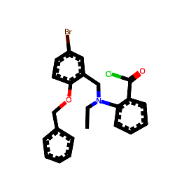 CCN(Cc1cc(Br)ccc1OCc1ccccc1)c1ccccc1C(=O)Cl